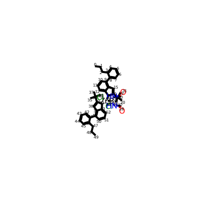 CCCc1ccccc1-c1cccc2c1C=C(C(C)(C)C)[CH]2[Zr]([Cl])([Cl])([B](NC=O)NC=O)[CH]1C(C(C)(C)C)=Cc2c(-c3ccccc3CCC)cccc21